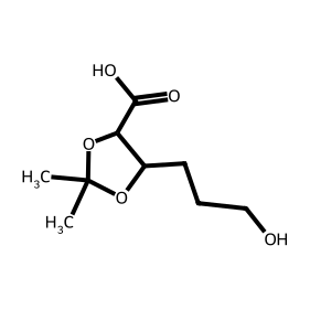 CC1(C)OC(CCCO)C(C(=O)O)O1